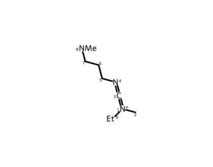 CC[N+](C)=C=NCCCNC